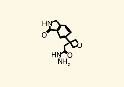 NNC(=O)CC1(c2ccc3c(c2)C(=O)NC3)COC1